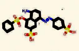 Nc1ccc(N=Nc2ccc(S(=O)(=O)O)cc2)c2cc(S(=O)(=O)O)cc(OS(=O)(=O)c3ccccc3)c12